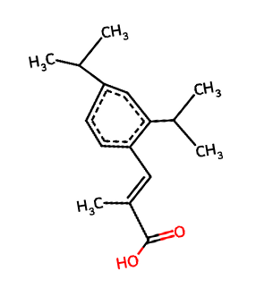 C/C(=C\c1ccc(C(C)C)cc1C(C)C)C(=O)O